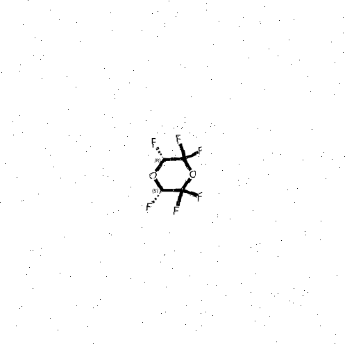 F[C@@H]1O[C@H](F)C(F)(F)OC1(F)F